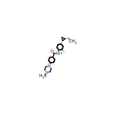 CC[C@H]1C[C@H]1c1ccc(NC(=O)c2ccc(N3CCN(C)CC3)cc2)c(F)c1